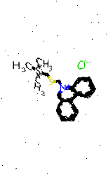 C[Si](C)(C)CSC[n+]1cc2ccccc2c2ccccc21.[Cl-]